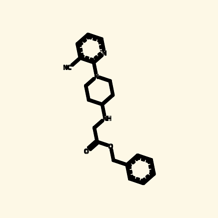 N#Cc1cccnc1N1CCC(NCC(=O)OCc2ccccc2)CC1